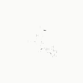 CC(C)C[C@H](NCCCC(=O)O)C(=O)NCc1nnn[nH]1